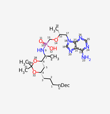 CCCCCCCCCCCCC[C@H]1C[C@@H]([C@H](C)NP(=O)(O)CO[C@H](C)Cn2cnc3c(N)ncnc32)OC(C)(C)O1